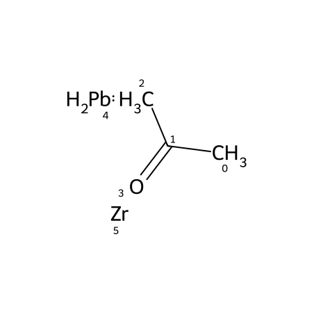 CC(C)=O.[PbH2].[Zr]